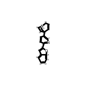 C1=CC2(c3ccc(-c4cc5ccccc5o4)nc3)CCN(C1)C2